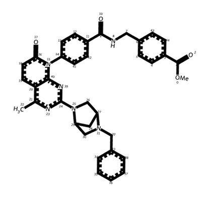 COC(=O)c1ccc(CNC(=O)c2ccc(-n3c(=O)ccc4c(C)nc(N5CC6CC5CN6Cc5ccccc5)nc43)cc2)cc1